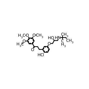 CCC(C)(C)NCC(O)COc1cccc(CCC(=O)c2cc(OC)c(OC)c(OC)c2)c1.Cl